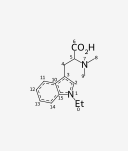 CCn1cc(CC(C(=O)O)N(C)C)c2ccccc21